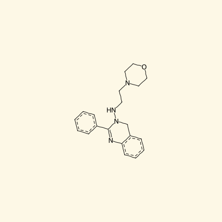 c1ccc(C2=Nc3ccccc3CN2NCCN2CCOCC2)cc1